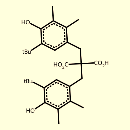 Cc1c(CC(Cc2cc(C(C)(C)C)c(O)c(C)c2C)(C(=O)O)C(=O)O)cc(C(C)(C)C)c(O)c1C